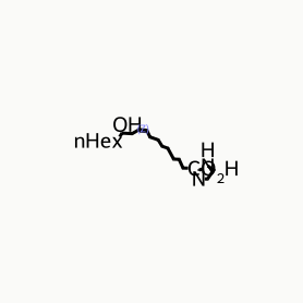 C1=NCCN1.CCCCCCC(O)C/C=C\CCCCCCCC(=O)O